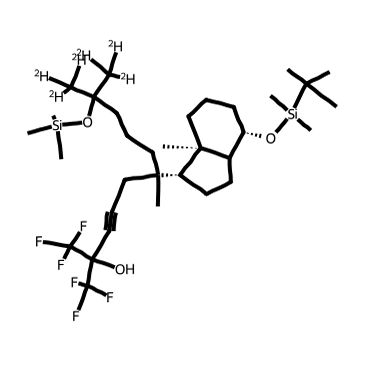 [2H]C([2H])([2H])C(CCCC(C)(CC#CC(O)(C(F)(F)F)C(F)(F)F)[C@H]1CCC2[C@@H](O[Si](C)(C)C(C)(C)C)CCC[C@@]21C)(O[Si](C)(C)C)C([2H])([2H])[2H]